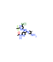 CC(=O)Nc1cc2c(cn1)c(N1C[C@H](C)[C@@H](N)C1)nn2-c1cc(C)nc(C(C)(F)F)n1.Cl